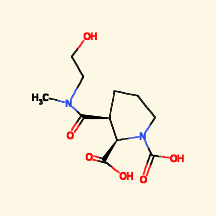 CN(CCO)C(=O)[C@H]1CCCN(C(=O)O)[C@H]1C(=O)O